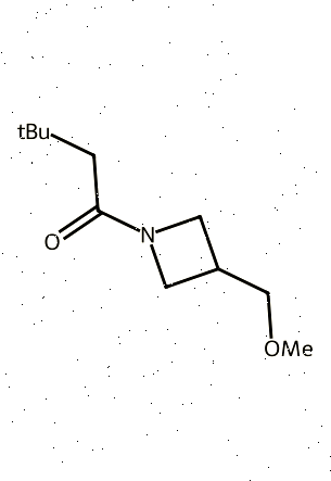 COCC1CN(C(=O)CC(C)(C)C)C1